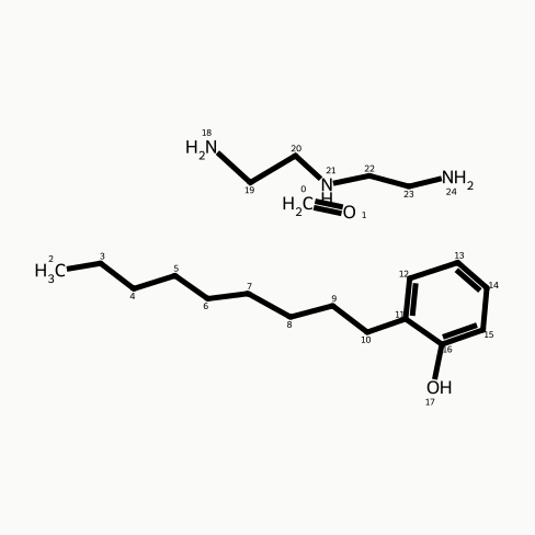 C=O.CCCCCCCCCc1ccccc1O.NCCNCCN